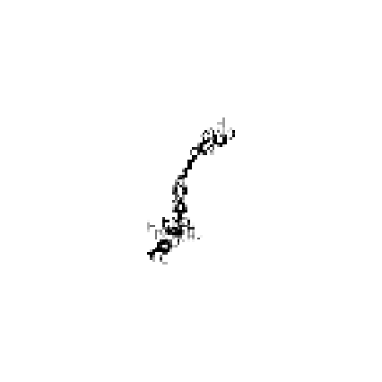 CC1(C)C(NC(=O)c2ccc(N3CCN(CCCCCCOc4cnn(C5CCC(=O)NC5=O)c(=O)c4)CC3)nc2)C(C)(C)C1Oc1ccc(C#N)c(Cl)c1